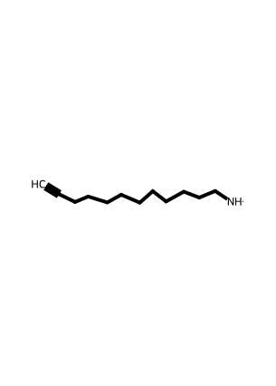 C#CCCCCCCCCCC[NH]